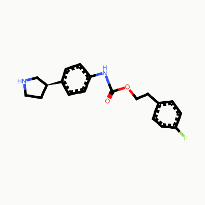 O=C(Nc1ccc([C@H]2CCNC2)cc1)OCCc1ccc(F)cc1